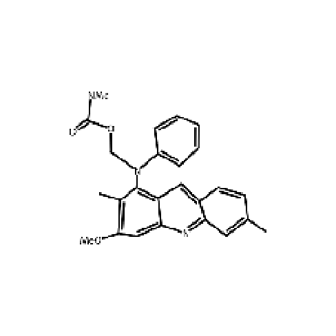 CNC(=O)OCN(c1ccccc1)c1c(C)c(OC)cc2nc3cc(C)ccc3cc12